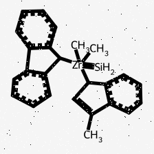 CC1=C[CH]([Zr]([CH3])([CH3])(=[SiH2])[CH]2c3ccccc3-c3ccccc32)c2ccccc21